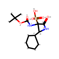 CC(C)(C)OC(=O)NC1(S(=O)(=O)O)C(=O)NC1C1CCCCC1